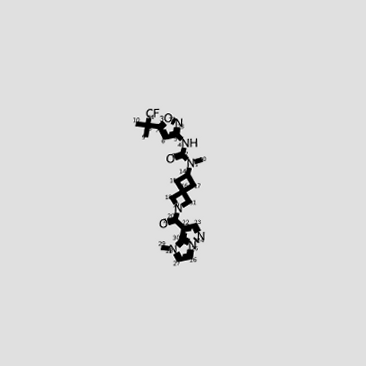 CN(C(=O)Nc1cc(C(C)(C)C(F)(F)F)on1)C1CC2(C1)CN(C(=O)c1cnn3ccn(C)c13)C2